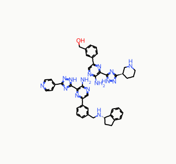 Nc1ncc(-c2cccc(CN[C@H]3CCc4ccccc43)c2)nc1-c1nc(-c2ccncc2)n[nH]1.Nc1ncc(-c2cccc(CO)c2)nc1-c1nc([C@@H]2CCCNC2)n[nH]1